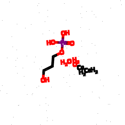 O.O.O=P(O)(O)OCCCO.[CaH2].[CaH2]